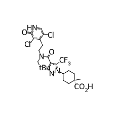 CC(C)(C)CN(CCc1c(Cl)c[nH]c(=O)c1Cl)C(=O)c1cnn([C@H]2CC[C@](C)(C(=O)O)CC2)c1C(F)(F)F